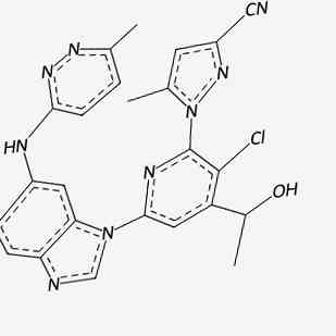 Cc1ccc(Nc2ccc3ncn(-c4cc(C(C)O)c(Cl)c(-n5nc(C#N)cc5C)n4)c3c2)nn1